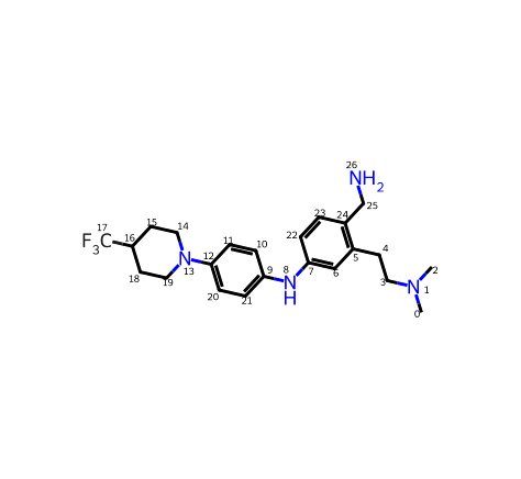 CN(C)CCc1cc(Nc2ccc(N3CCC(C(F)(F)F)CC3)cc2)ccc1CN